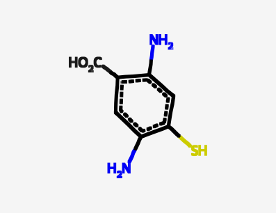 Nc1cc(C(=O)O)c(N)cc1S